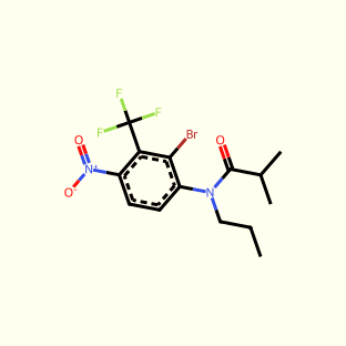 CCCN(C(=O)C(C)C)c1ccc([N+](=O)[O-])c(C(F)(F)F)c1Br